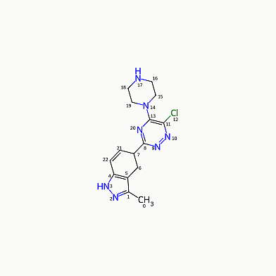 Cc1n[nH]c2c1CC(c1nnc(Cl)c(N3CCNCC3)n1)C=C2